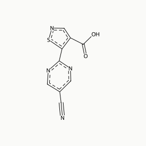 N#Cc1cnc(-c2sncc2C(=O)O)nc1